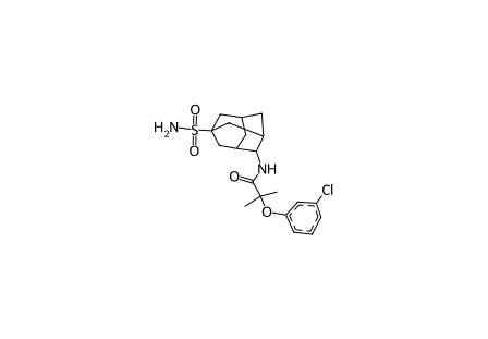 CC(C)(Oc1cccc(Cl)c1)C(=O)NC1C2CC3CC1CC(S(N)(=O)=O)(C3)C2